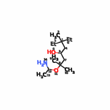 CCC(C)(CC)CC(O)CC(C)(C)OC(C)N